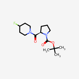 CC(C)(C)OC(=O)N1CCC[C@@H]1C(=O)N1CCC(F)CC1